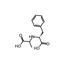 CC(N[C@@H](Cc1ccccc1)C(=O)O)C(=O)O